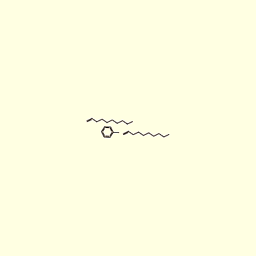 C=CCCCCCCCC.C=CCCCCCCCC.Cc1ccccc1